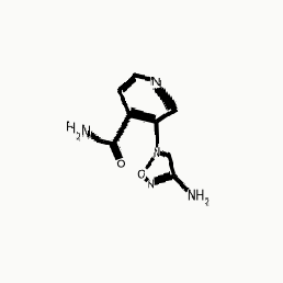 NC(=O)c1ccncc1N1CC(N)=NO1